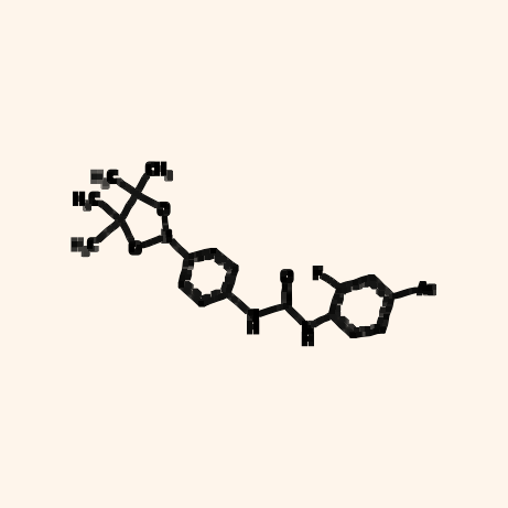 CC(=O)c1ccc(NC(=O)Nc2ccc(B3OC(C)(C)C(C)(C)O3)cc2)c(F)c1